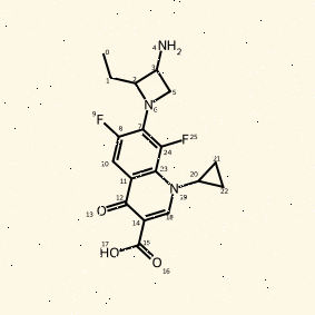 CCC1C(N)CN1c1c(F)cc2c(=O)c(C(=O)O)cn(C3CC3)c2c1F